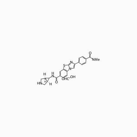 CNC(=O)c1ccc(-c2cn3c(n2)sc2cc(C(=O)NC4[C@H]5CNC[C@@H]45)ccc23)cc1.O=CO